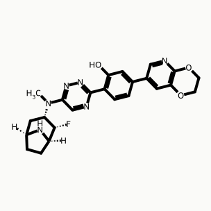 CN(c1cnc(-c2ccc(-c3cnc4c(c3)OCCO4)cc2O)nn1)[C@H]1C[C@@H]2CC[C@@H](N2)[C@H]1F